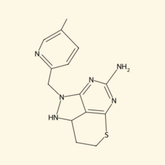 Cc1ccc(CN2NC3CCSc4nc(N)nc2c43)nc1